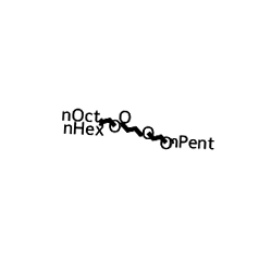 CCCCCCCCC(CCCCCC)COC(=O)CCCOCCOCCCCC